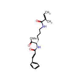 C/C=C(\C)C(=O)NCCCC[C@H](NC(=O)C=Cc1ccccc1)C(=O)OC